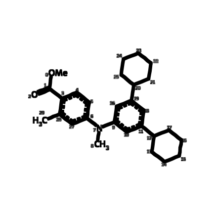 COC(=O)c1ccc(N(C)c2cc(C3CCCCC3)cc(C3CCCCC3)c2)cc1C